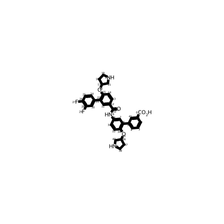 O=C(O)c1cccc(-c2cc(NC(=O)c3ccc(OC4CCNC4)c(-c4ccc(F)c(F)c4)c3)ccc2OC2CCNC2)c1